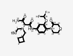 CC(C)(C)CN(CC1CCC1)[C@H](C(N)=O)C(=O)Nc1ccc(N2CCOCC2=O)c(OC(F)F)c1